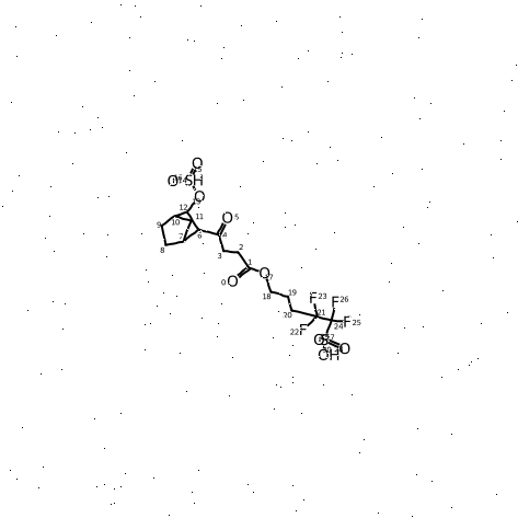 O=C(CCC(=O)C1C2CCC(C2)C1O[SH](=O)=O)OCCCC(F)(F)C(F)(F)S(=O)(=O)O